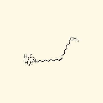 CCCCCCCC/C=C\CCCCCCCCN(C)CC